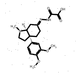 COc1ccc([C@@]23CCC(=NNC(=O)C(=O)O)C[C@@H]2N(C)CC3)cc1OC